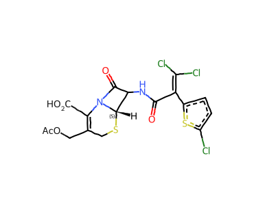 CC(=O)OCC1=C(C(=O)O)N2C(=O)C(NC(=O)C(=C(Cl)Cl)c3ccc(Cl)s3)[C@@H]2SC1